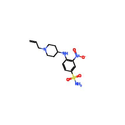 C=CCN1CCC(Nc2ccc(S(N)(=O)=O)cc2[N+](=O)[O-])CC1